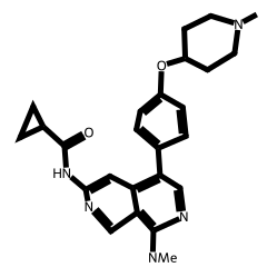 CNc1ncc(-c2ccc(OC3CCN(C)CC3)cc2)c2cc(NC(=O)C3CC3)ncc12